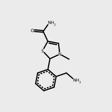 CN1C=C(C(N)=O)SC1c1ccccc1CN